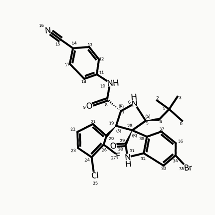 CC(C)(C)C[C@@H]1N[C@@H](C(=O)Nc2ccc(C#N)cc2)[C@H](c2cccc(Cl)c2F)[C@]12C(=O)Nc1cc(Br)ccc12